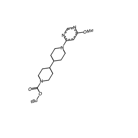 COc1cc(N2CCC(C3CCN(C(=O)OC(C)(C)C)CC3)CC2)ncn1